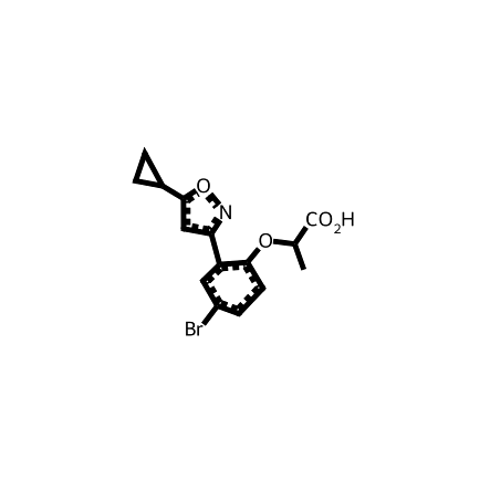 CC(Oc1ccc(Br)cc1-c1cc(C2CC2)on1)C(=O)O